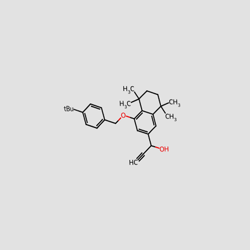 C#CC(O)c1cc(OCc2ccc(C(C)(C)C)cc2)c2c(c1)C(C)(C)CCC2(C)C